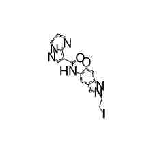 COc1cc2nn(CCI)cc2cc1NC(=O)c1cnn2cccnc12